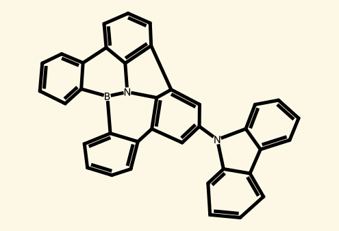 c1ccc2c(c1)B1c3ccccc3-c3cc(-n4c5ccccc5c5ccccc54)cc4c5cccc-2c5n1c34